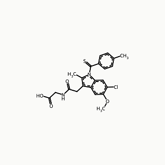 COc1cc2c(CC(=O)NCC(=O)O)c(C)n(C(=S)c3ccc(C)cc3)c2cc1Cl